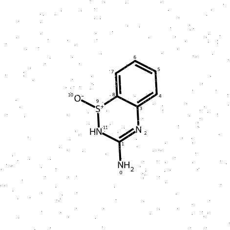 NC1=Nc2ccccc2[S+]([O-])N1